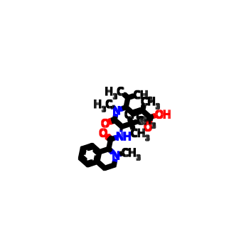 C/C(=C\C(C(C)C)N(C)C(=O)[C@@H](NC(=O)C1c2ccccc2CCN1C)C(C)(C)C)C(=O)O